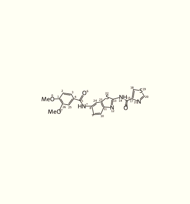 COc1ccc(C(=O)Nc2ccc3nc(NC(=O)c4cscn4)sc3c2)cc1OC